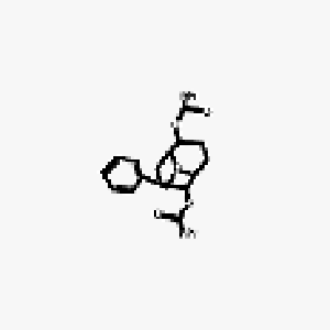 CCCC(=O)OC1CCC2C(OC(=O)CCC)CCC1N2Cc1ccccc1